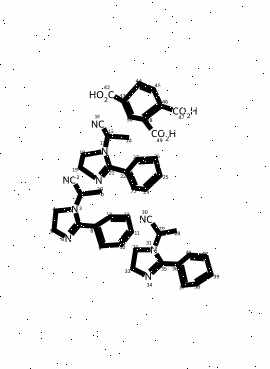 CC(C#N)N1CCN=C1c1ccccc1.CC(C#N)N1CCN=C1c1ccccc1.CC(C#N)N1CCN=C1c1ccccc1.O=C(O)c1ccc(C(=O)O)c(C(=O)O)c1